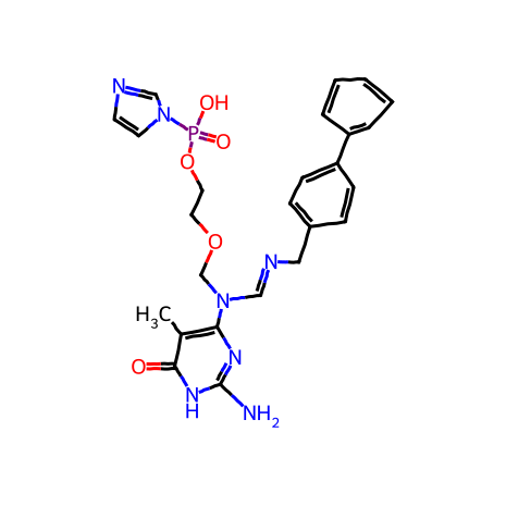 Cc1c(N(/C=N/Cc2ccc(-c3ccccc3)cc2)COCCOP(=O)(O)n2ccnc2)nc(N)[nH]c1=O